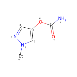 CCn1cc(OC(N)=O)cn1